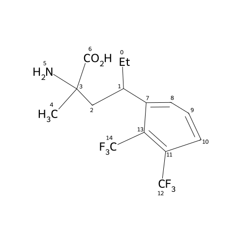 CCC(CC(C)(N)C(=O)O)c1cccc(C(F)(F)F)c1C(F)(F)F